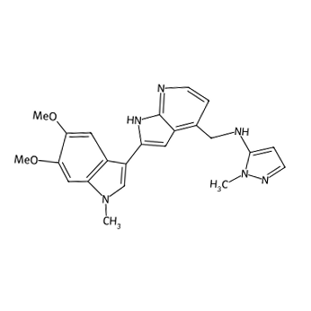 COc1cc2c(-c3cc4c(CNc5ccnn5C)ccnc4[nH]3)cn(C)c2cc1OC